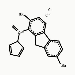 [CH2]=[Zr+2]([c]1c(C(C)(C)C)ccc2c1Cc1cc(C(C)(C)C)ccc1-2)[CH]1C=CC=C1.[Cl-].[Cl-]